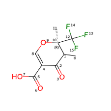 CC1C(=O)C(C(=O)O)=CO[C@@]1(C)C(F)(F)F